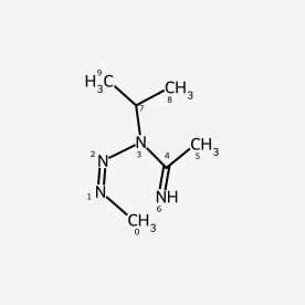 C/N=N\N(C(C)=N)C(C)C